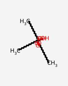 CCCCCCCCCCCCCCCCC(CC(O)CO)(C(=O)CCCCCCCCCCCCCCC)C(=O)OC(=O)CCCCCCCCCCCCCCC